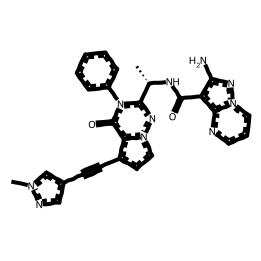 C[C@H](NC(=O)c1c(N)nn2cccnc12)c1nn2ccc(C#Cc3cnn(C)c3)c2c(=O)n1-c1ccccc1